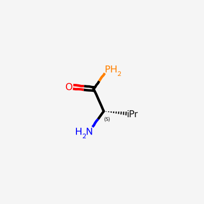 CC(C)[C@H](N)C(=O)P